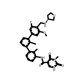 COc1cc(-c2cccc(-c3cccc(NC(=O)c4c[nH]c(=O)n(C)c4=O)c3C)c2C)cc(F)c1CN[C@H]1CCOC1